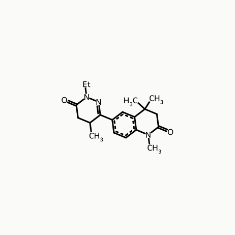 CCN1N=C(c2ccc3c(c2)C(C)(C)CC(=O)N3C)C(C)CC1=O